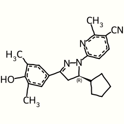 Cc1cc(C2=NN(c3ccc(C#N)c(C)n3)[C@@H](C3CCCC3)C2)cc(C)c1O